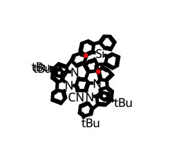 CC(C)(C)c1ccc2c(c1)c1ccccc1n2-c1c(C#N)c(-n2c3ccccc3c3cc(C(C)(C)C)ccc32)c(-n2c3ccccc3c3cc(C(C)(C)C)ccc32)c(-c2ccc3c(c2)-c2ccccc2[Si]32c3ccccc3-c3ccccc32)c1-n1c2ccccc2c2cc(C(C)(C)C)ccc21